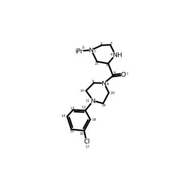 CC(C)N1CCNC(C(=O)N2CCN(c3cccc(Cl)c3)CC2)C1